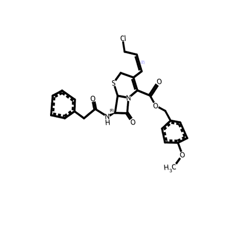 COc1ccc(COC(=O)C2=C(/C=C\CCl)CSC3[C@H](NC(=O)Cc4ccccc4)C(=O)N23)cc1